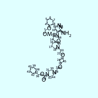 COCOc1ccccc1-c1cc(N2CCC3(CCCN(CCO[C@H]4C[C@H](OCCN5CCN(C(=O)OCc6ccccc6)CC5)C4)C3)OC2)c(N)nn1